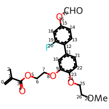 C=C(C)C(=O)OCCOc1cc(-c2ccc(OC=O)cc2F)ccc1OCCOC